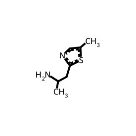 Cc1cnc(CC(C)N)s1